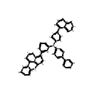 c1ccc(-c2ccc(N(c3ccc(-c4cccc5ccccc45)cc3)c3cccc(-c4ccc5c6c(cccc46)-c4ccccc4O5)c3)cc2)cc1